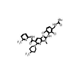 Cn1c(Nc2c(Cl)ccc(CNC(=O)C(C)(C)C)c2Cl)nc2cc(C(=O)Nc3cccc(C(F)(F)F)n3)c(N3CCC(C(F)(F)F)CC3)nc21